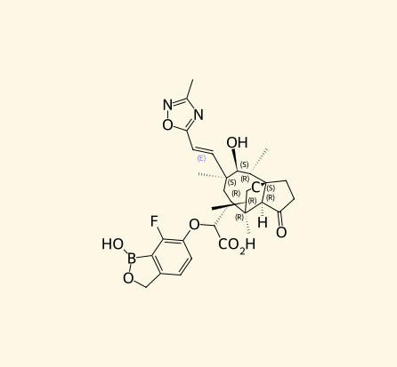 Cc1noc(/C=C/[C@]2(C)C[C@@H](C(Oc3ccc4c(c3F)B(O)OC4)C(=O)O)[C@@]3(C)[C@H](C)CC[C@]4(CCC(=O)[C@H]43)[C@@H](C)[C@@H]2O)n1